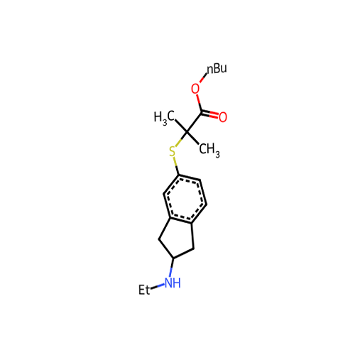 CCCCOC(=O)C(C)(C)Sc1ccc2c(c1)CC(NCC)C2